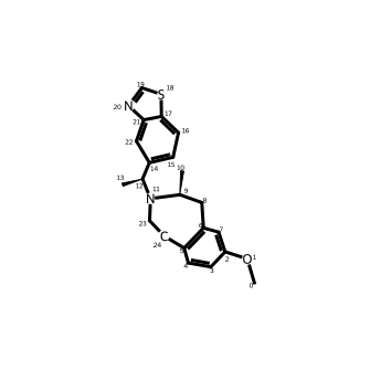 COc1ccc2c(c1)C[C@H](C)N([C@@H](C)c1ccc3scnc3c1)CC2